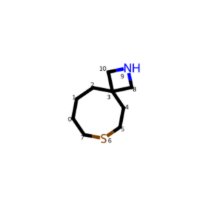 C1CCC2(CCSC1)CNC2